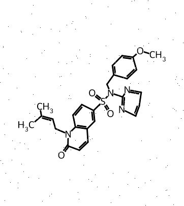 COc1ccc(CN(c2ncccn2)S(=O)(=O)c2ccc3c(ccc(=O)n3CC=C(C)C)c2)cc1